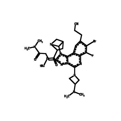 CN(C)C(=O)CCc1nc2c(N3CC(N(C)C)C3)nc3c(F)c(Br)c(CCC#N)cc3c2n1C1C2CC(C(=O)OC(C)(C)C)N1C2